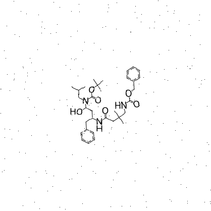 CC(C)CN(C(=O)OC(C)(C)C)C(O)CC(Cc1ccccc1)NC(=O)CC(C)(C)CNC(=O)OCc1ccccc1